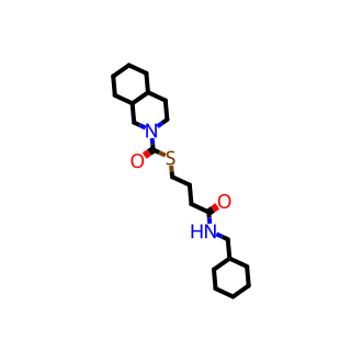 O=C(CCCSC(=O)N1CCC2CCCCC2C1)NCC1CCCCC1